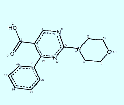 O=C(O)c1cnc(N2CCOCC2)nc1-c1ccccc1